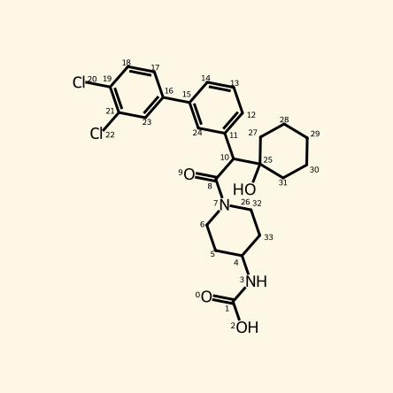 O=C(O)NC1CCN(C(=O)C(c2cccc(-c3ccc(Cl)c(Cl)c3)c2)C2(O)CCCCC2)CC1